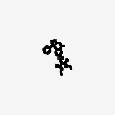 CCOC(=O)C(=CNc1ccc2c(c1)c(C)cc1nnc(-c3ccccc3)n12)C(=O)OCC